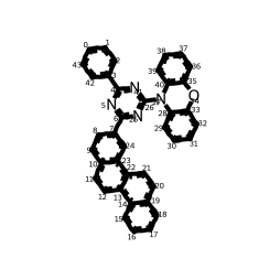 c1ccc(-c2nc(-c3ccc4ccc5c6ccccc6ccc5c4c3)nc(N3c4ccccc4Oc4ccccc43)n2)cc1